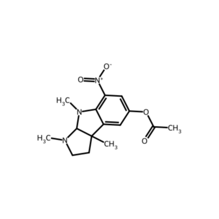 CC(=O)Oc1cc([N+](=O)[O-])c2c(c1)C1(C)CCN(C)C1N2C